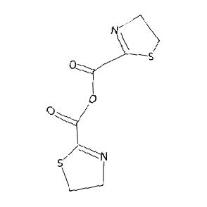 O=C(OC(=O)C1=NCCS1)C1=NCCS1